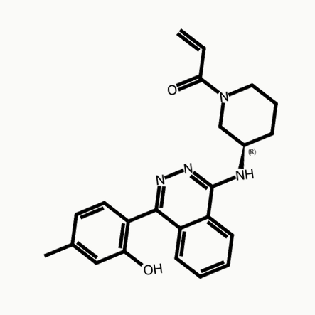 C=CC(=O)N1CCC[C@@H](Nc2nnc(-c3ccc(C)cc3O)c3ccccc23)C1